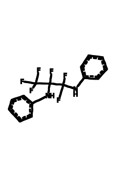 FC(F)(F)C(F)(Nc1ccccc1)C(F)(F)Nc1ccccc1